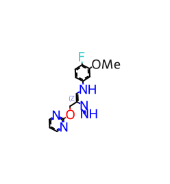 COc1cc(N/C=C(/COc2ncccn2)N=N)ccc1F